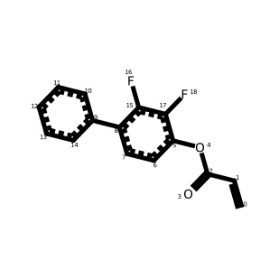 C=CC(=O)Oc1ccc(-c2ccccc2)c(F)c1F